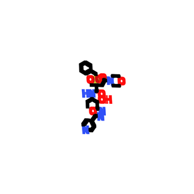 CCC(NC(=O)C(C)(CC(=O)N1CCOCC1)S(=O)(=O)Cc1ccccc1)C(O)c1nnc(-c2ccncc2)o1